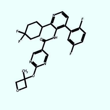 CC1(Oc2ncc(C(=O)Nc3c(-c4cc(F)ccc4F)ccnc3C3CCC(F)(F)CC3)cn2)COC1